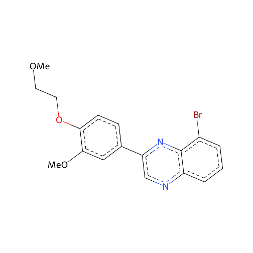 COCCOc1ccc(-c2cnc3cccc(Br)c3n2)cc1OC